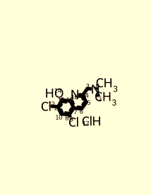 CN(C)Cc1ccc2c(Cl)cc(Cl)c(O)c2n1.Cl